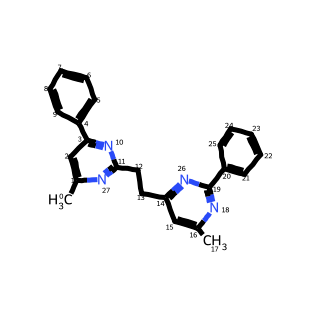 Cc1cc(-c2ccccc2)nc(CCc2cc(C)nc(-c3ccccc3)n2)n1